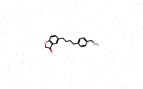 CCc1ccc(CCCCc2ccc3c(c2)C(=O)CO3)cc1